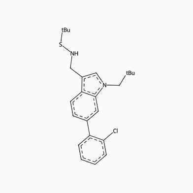 CC(C)(C)Cn1cc(CNSC(C)(C)C)c2ccc(-c3ccccc3Cl)cc21